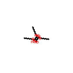 CCCCCCCCOC(=O)c1cc(C(=O)OCCCCCCCC)c(C(=O)OCCCCCCCC)cc1C(=O)O